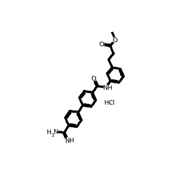 COC(=O)CCc1cccc(NC(=O)c2ccc(-c3ccc(C(=N)N)cc3)cc2)c1.Cl